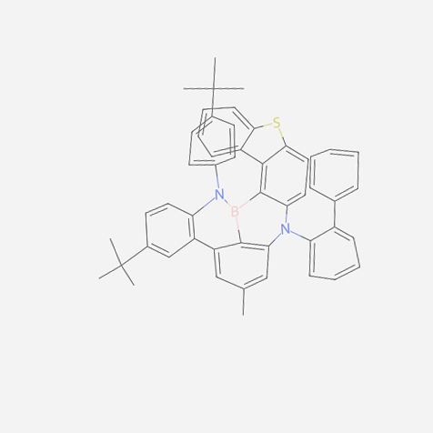 Cc1cc2c3c(c1)N(c1ccccc1-c1ccccc1)c1ccc4sc5ccccc5c4c1B3N(c1ccc(C(C)(C)C)cc1)c1ccc(C(C)(C)C)cc1-2